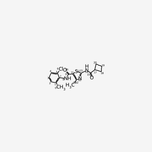 Cc1cccc(Cl)c1NC(=O)c1sc(NC(=O)C2CCC2)nc1C